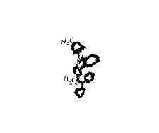 CC(=C(c1ccccc1)c1ccccc1)c1ccc2c(c1)C1CCCCC1N2c1ccc(C)cc1